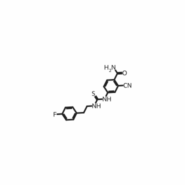 N#Cc1cc(NC(=S)NCCc2ccc(F)cc2)ccc1C(N)=O